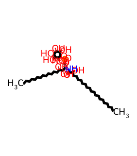 CCCCCCCCCCCCCCCCCCCCC(O)C(=O)N[C@@H](COP(=O)(O)OC1C(O)C(O)C(O)[C@@H](O)C1O)[C@H](O)[C@H](O)CCCCCCCCCCCCCC